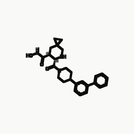 O=C(NO)[C@H]1CC2(CC2)CN[C@@H]1C(=O)N1CCC(c2cccc(-c3ccccc3)c2)CC1